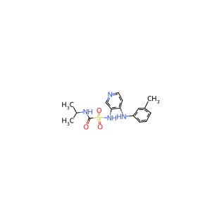 Cc1cccc(Nc2ccncc2NS(=O)(=O)C(=O)NC(C)C)c1